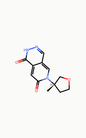 C[C@]1(n2cc3cn[nH]c(=O)c3cc2=O)CCOC1